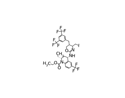 CCOC(=O)N1c2ccc(C(F)(F)F)cc2[C@@H](NC2=NC(CI)C(Cc3cc(C(F)(F)F)cc(C(F)(F)F)c3)CO2)C[C@H]1CC